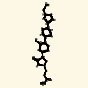 NC(=O)CCC1CN(c2ccc(-c3ccc(-c4nc(CO)cs4)cc3)c(F)c2)C(=O)O1